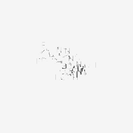 CC1CN(c2ncnc3c2c(B2OC(C)(C)C(C)(C)O2)cn3-c2cc(F)cc(F)c2)CCN1C(=O)O